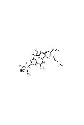 COCCOc1cc2c(NC(C)c3cc(OC)cc(C(F)(F)C(C)(C)O)c3)nc(C)nc2cc1OC